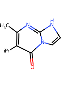 Cc1nc2[nH]ccn2c(=O)c1C(C)C